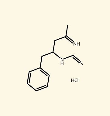 CC(=N)CC(Cc1ccccc1)NC=S.Cl